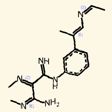 C/C=N\C=C(/C)c1cccc(NC(=N)C(=N/C)/C(N)=N\C)c1